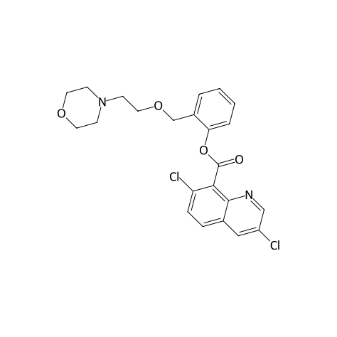 O=C(Oc1ccccc1COCCN1CCOCC1)c1c(Cl)ccc2cc(Cl)cnc12